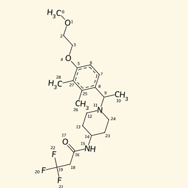 COCCOc1ccc(C(C)N2CCC(NC(=O)CC(F)(F)F)CC2)c(C)c1C